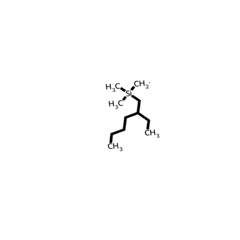 [CH2][Si](C)(C)CC(CC)CCCC